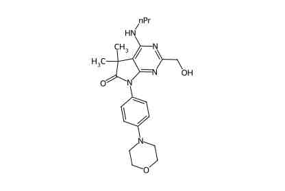 CCCNc1nc(CO)nc2c1C(C)(C)C(=O)N2c1ccc(N2CCOCC2)cc1